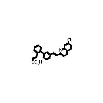 O=C(O)/C=C/c1ccccc1-c1cccc(C=Cc2ccc3ccc(Cl)cc3n2)c1